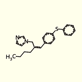 CCCCC(=Cc1ccc(Sc2ccccc2)cc1)Cn1ccnc1